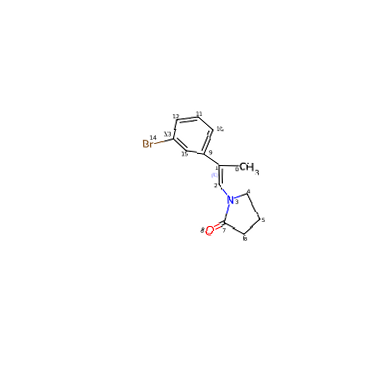 C/C(=C\N1CCCC1=O)c1cccc(Br)c1